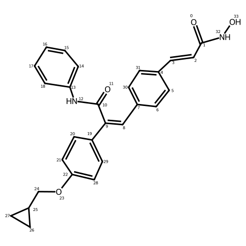 O=C(C=Cc1ccc(C=C(C(=O)Nc2ccccc2)c2ccc(OCC3CC3)cc2)cc1)NO